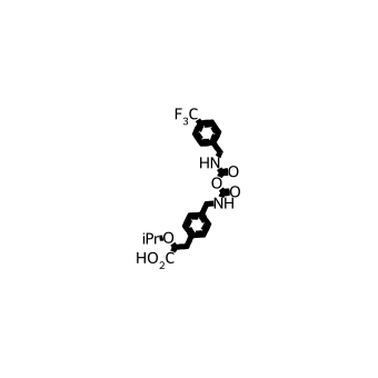 CC(C)OC(Cc1ccc(CNC(=O)OC(=O)NCc2ccc(C(F)(F)F)cc2)cc1)C(=O)O